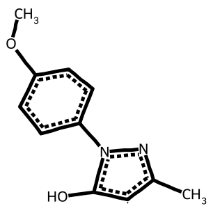 COc1ccc(-n2nc(C)[c]c2O)cc1